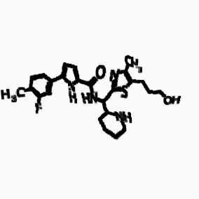 Cc1ccc(-c2ccc(C(=O)NC(c3nc(C)c(CCCO)s3)C3CCCCN3)[nH]2)cc1F